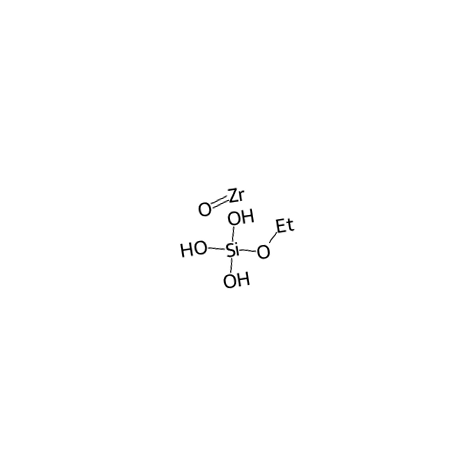 CCO[Si](O)(O)O.[O]=[Zr]